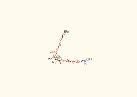 CC(C)(C)NCCOCCOCCOCCOCC(=O)C(C)(C)CC(C)(C)OCC(O)COCCOCCOCCOC(C)(C)C